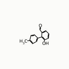 Cc1ccc(-c2c(O)cccc2C=O)cc1